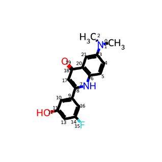 CN(C)c1ccc2[nH]c(-c3cc(O)cc(F)c3)cc(=O)c2c1